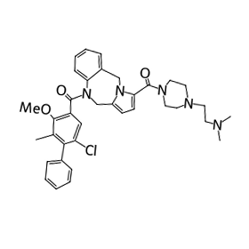 COc1c(C(=O)N2Cc3ccc(C(=O)N4CCN(CCN(C)C)CC4)n3Cc3ccccc32)cc(Cl)c(-c2ccccc2)c1C